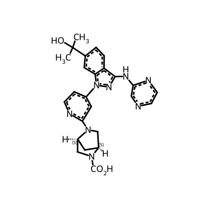 CC(C)(O)c1ccc2c(Nc3cnccn3)nn(-c3ccnc(N4C[C@@H]5C[C@H]4CN5C(=O)O)c3)c2c1